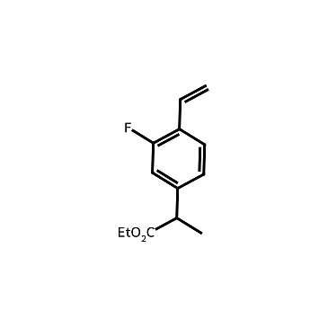 C=Cc1ccc(C(C)C(=O)OCC)cc1F